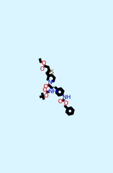 CCOC(=O)Cc1cc2c(s1)CCN(C(=O)[C@H](Cc1ccc(NC(=O)OCc3ccccc3)cc1)NC(=O)OC(C)(C)C)C2